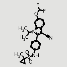 CC(C)n1c(-c2ccc(NS(=O)(=O)C3(C)CC3)cc2)c(C#N)c2ccc(OC(F)F)cc21